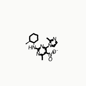 Cc1nc(N[C@H]2CCCC[C@@H]2C)nc(-n2ccnc2C)c1[N+](=O)[O-]